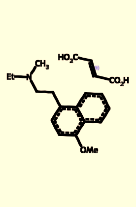 CCN(C)CCc1ccc(OC)c2ccccc12.O=C(O)/C=C/C(=O)O